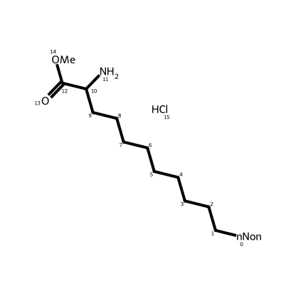 CCCCCCCCCCCCCCCCCCC(N)C(=O)OC.Cl